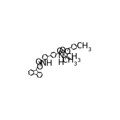 Cc1ccc(COC(=O)[C@@H](NC(=O)c2ccc(-c3cccc(NC(=O)OCC4c5ccccc5-c5ccccc54)c3)cc2)C(C)C)cc1